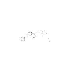 Cc1ccc(S(=O)(=O)n2ccc3c(NC4C[C@@H]5CN(C(=O)[C@H](C)O[Si](C)(C)C(C)(C)C)C[C@@H]5C4)c(Br)cnc32)cc1